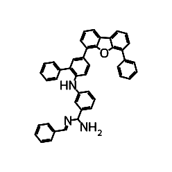 NC(/N=C/c1ccccc1)c1cccc(Nc2ccc(-c3cccc4c3oc3c(-c5ccccc5)cccc34)cc2-c2ccccc2)c1